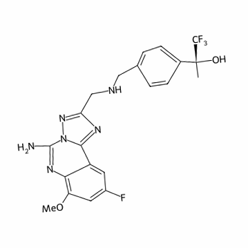 COc1cc(F)cc2c1nc(N)n1nc(CNCc3ccc([C@@](C)(O)C(F)(F)F)cc3)nc21